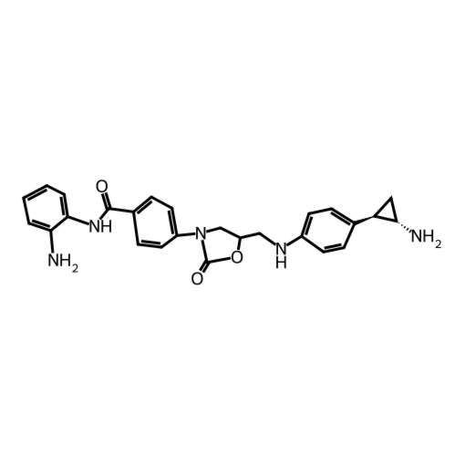 Nc1ccccc1NC(=O)c1ccc(N2CC(CNc3ccc([C@H]4C[C@@H]4N)cc3)OC2=O)cc1